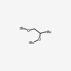 CCCCC(COC(C)(C)C)OC(C)(C)C